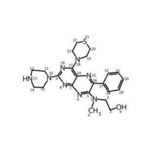 CN(CCO)c1nc2nc(N3CCNCC3)nc(N3CCSCC3)c2nc1-c1ccccc1